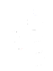 CN1CCc2ccc(Sc3ccccc3)cc2CC1.O=C(O)/C=C/C(=O)O